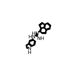 N=C(Nc1ccc2c(c1)CCN2)Nc1ccc2cccc3c2c1C=C3